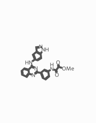 COC(=O)C(=O)Nc1cccc(-c2nc(Nc3ccc4[nH]ncc4c3)c3ccccc3n2)c1